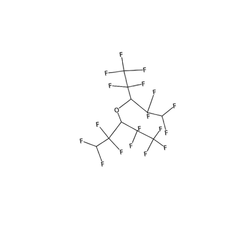 FC(F)C(F)(F)C(OC(C(F)(F)C(F)F)C(F)(F)C(F)(F)F)C(F)(F)C(F)(F)F